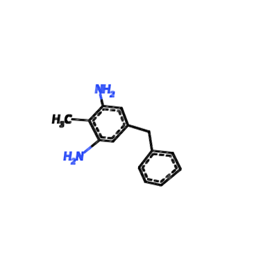 Cc1c(N)cc(Cc2ccccc2)cc1N